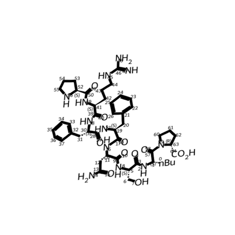 CCCC[C@H](NC(=O)[C@H](CO)NC(=O)[C@H](CC(N)=O)NC(=O)[C@H](Cc1ccccc1)NC(=O)[C@H](Cc1ccccc1)NC(=O)[C@H](CCCNC(=N)N)NC(=O)[C@@H]1CCCN1)C(=O)N1CCC[C@@H]1C(=O)O